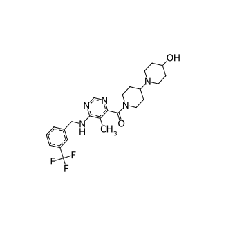 Cc1c(NCc2cccc(C(F)(F)F)c2)ncnc1C(=O)N1CCC(N2CCC(O)CC2)CC1